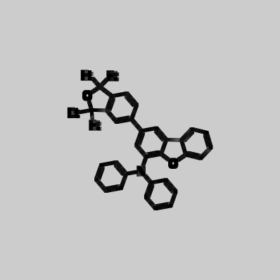 CCC1(CC)OC(CC)(CC)c2cc(-c3cc(N(c4ccccc4)c4ccccc4)c4oc5ccccc5c4c3)ccc21